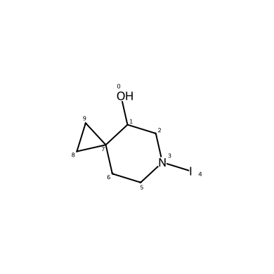 OC1CN(I)CCC12CC2